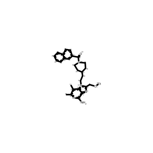 CCOCc1nc2c(N)nc(C)c(C)c2n1CCC1CCN(C(=O)c2ccc3ccccc3c2)CC1